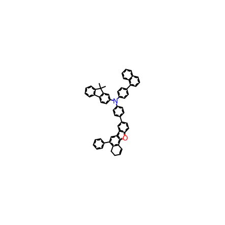 CC1(C)c2ccccc2-c2ccc(N(c3ccc(-c4ccc5oc6c7c(c(-c8ccccc8)cc6c5c4)CCC=C7)cc3)c3ccc(-c4cccc5ccccc45)cc3)cc21